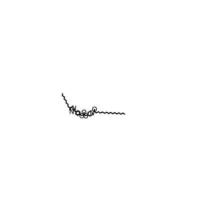 CCCCCCCCCCCCCCCC(=O)N1CCC(OC(=O)Oc2ccc(-c3ncc(CCCCCCCC)cn3)cc2)CC1